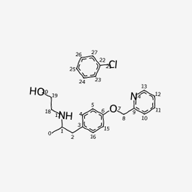 CC(Cc1ccc(OCc2ccccn2)cc1)NCCO.Clc1ccccc1